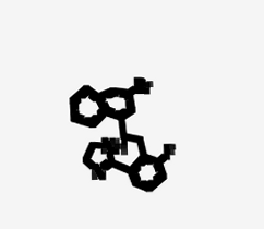 Fc1cccc(C2=NCCN2)c1CCc1cc(Br)cc2ccccc12